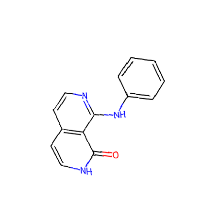 O=c1[nH]ccc2ccnc(Nc3ccccc3)c12